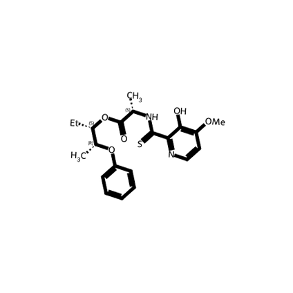 CC[C@H](OC(=O)[C@H](C)NC(=S)c1nccc(OC)c1O)[C@@H](C)Oc1ccccc1